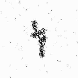 C=C(C)C(=O)OC(=O)Oc1cc(C#Cc2ccc(C(=O)O/C(C)=C/c3ccc(OC(=O)C(=C)C)cc3)cc2OC(=O)C(=C)F)cc(OC(=O)C(=C)C)c1C#Cc1ccc(OC(=O)C(=C)C)cc1